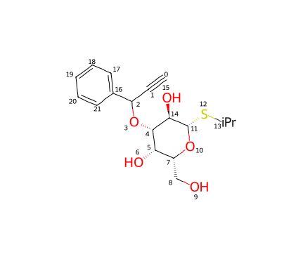 C#CC(O[C@H]1[C@@H](O)[C@@H](CO)O[C@@H](SC(C)C)[C@@H]1O)c1ccccc1